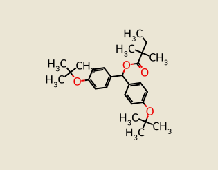 CCC(C)(C)C(=O)OC(c1ccc(OC(C)(C)C)cc1)c1ccc(OC(C)(C)C)cc1